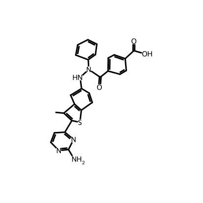 Cc1c(-c2ccnc(N)n2)sc2ccc(NN(C(=O)c3ccc(C(=O)O)cc3)c3ccccc3)cc12